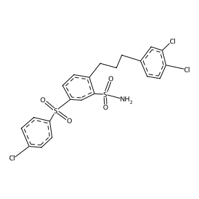 NS(=O)(=O)c1cc(S(=O)(=O)c2ccc(Cl)cc2)ccc1CCCc1ccc(Cl)c(Cl)c1